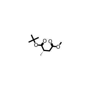 COC(=O)C[C@H](C)C(=O)OC(C)(C)C